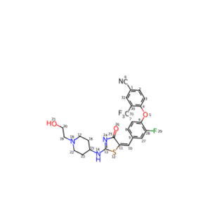 N#Cc1ccc(Oc2ccc(C=C3SC(NC4CCN(CCO)CC4)=NC3=O)cc2F)c(C(F)(F)F)c1